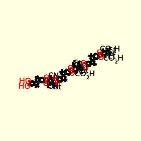 CCC1(CC)Oc2cc3c(cc2Oc2c(C#N)c4c(c(C#N)c21)OC1C=C2C(=CC1O4)C(C)(C)CC21CC(C)(C)c2cc(O)c(O)cc21)C1(CC(C)(C)C2=CC4Oc5c(C#N)c6c(c(C(=O)O)c5OC4C=C21)C1(CC)C2(CC)Oc4cc5c(cc4OC2(CC)C61CC)C1(CC(C)(C)C2=CC4Oc6c(c(C(=O)O)c7c(c6C(=O)O)C(C)(CC)C7(C)CC)OC4C=C21)CC5(C)C)CC3(C)C